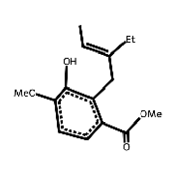 CC=C(CC)Cc1c(C(=O)OC)ccc(OC)c1O